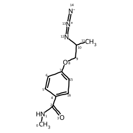 CNC(=O)c1ccc(OCC(C)N=[N+]=[N-])cc1